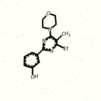 CCc1nc(-c2cccc(O)c2)nc(N2CCOCC2)c1C